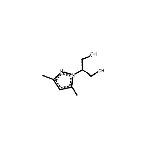 Cc1cc(C)n(C(CO)CO)n1